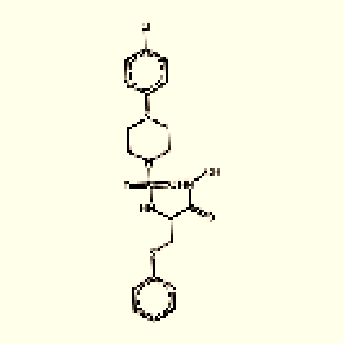 O=C(NO)C(CSc1ccccn1)NS(=O)(=O)N1CCN(c2ccc(Cl)cn2)CC1